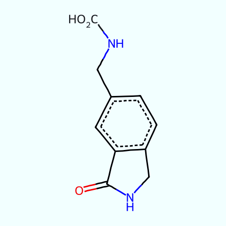 O=C(O)NCc1ccc2c(c1)C(=O)NC2